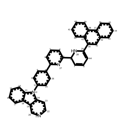 C1=CC(c2cccc(-c3ccc(-n4c5ccccc5c5cnccc54)cc3)n2)NC(c2cc3ccccc3c3ccccc23)=C1